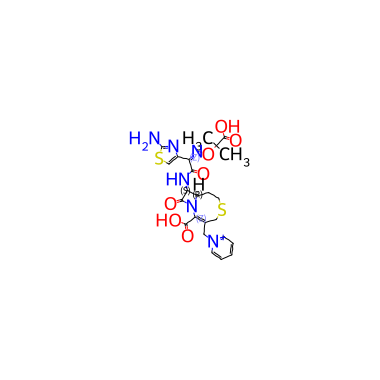 CC(C)(O/N=C(\C(=O)N[C@@H]1C(=O)N2/C(C(=O)O)=C(/C[n+]3ccccc3)CSCC[C@H]12)c1csc(N)n1)C(=O)O